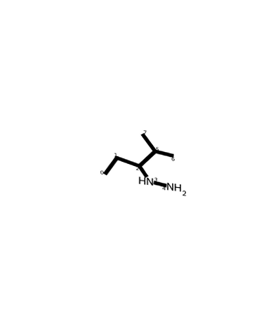 CCC(NN)[C](C)C